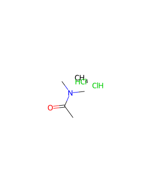 C.CC(=O)N(C)C.Cl.Cl